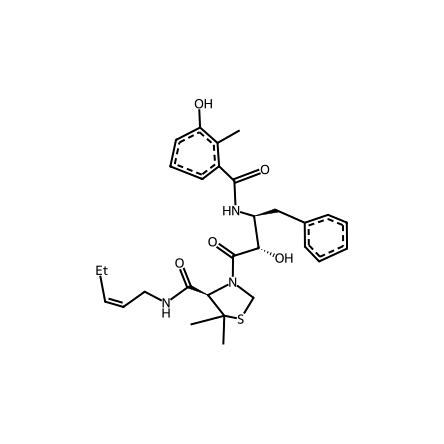 CC/C=C\CNC(=O)[C@H]1N(C(=O)[C@@H](O)[C@H](Cc2ccccc2)NC(=O)c2cccc(O)c2C)CSC1(C)C